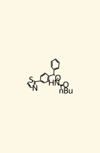 CCCCC(=O)NOC(c1ccccc1)c1ccc(-c2nccs2)cc1